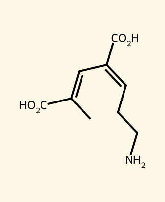 CC(=CC(=CCCN)C(=O)O)C(=O)O